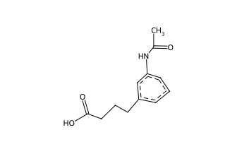 CC(=O)Nc1cccc(CCCC(=O)O)c1